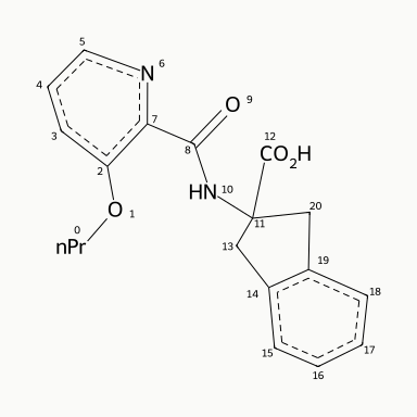 CCCOc1cccnc1C(=O)NC1(C(=O)O)Cc2ccccc2C1